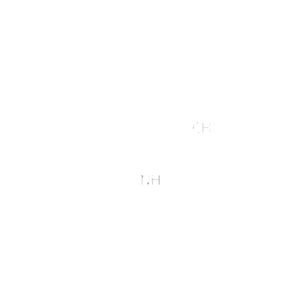 C[C@H]1C=[C]CN1